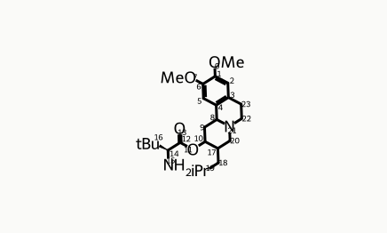 COc1cc2c(cc1OC)C1CC(OC(=O)[C@@H](N)C(C)(C)C)C(CC(C)C)CN1CC2